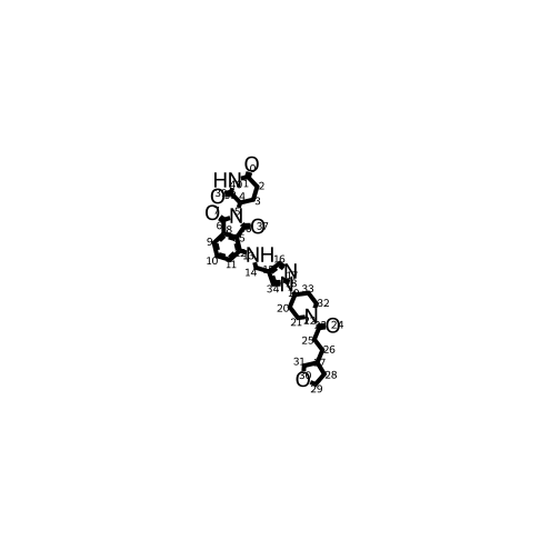 O=C1CCC(N2C(=O)c3cccc(NCc4cnn(C5CCN(C(=O)CCC6CCOC6)CC5)c4)c3C2=O)C(=O)N1